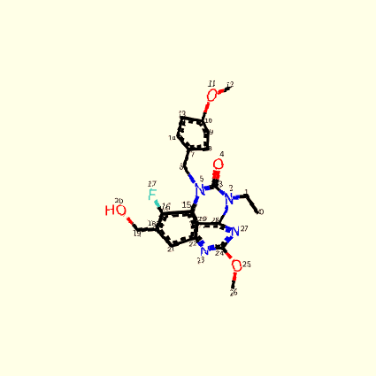 CCN1C(=O)N(Cc2ccc(OC)cc2)c2c(F)c(CO)cc3nc(OC)nc1c23